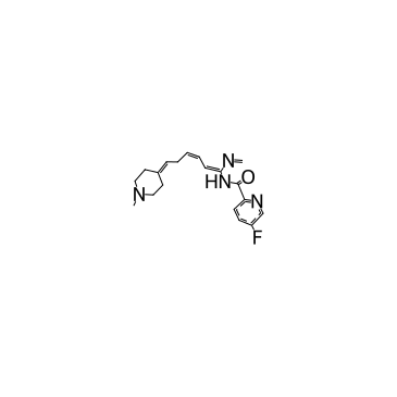 C=N/C(=C\C=C/CC=C1CCN(C)CC1)NC(=O)c1ccc(F)cn1